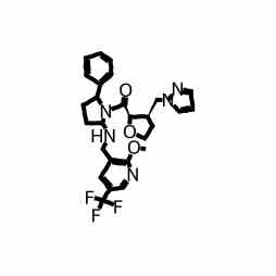 COc1ncc(C(F)(F)F)cc1CNC1CCC(c2ccccc2)N1C(=O)[C@@H]1OCC[C@@H]1Cn1cccn1